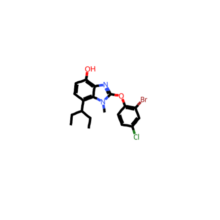 CCC(CC)c1ccc(O)c2nc(Oc3ccc(Cl)cc3Br)n(C)c12